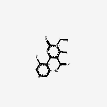 CCn1c(C)c(C(=O)O)c(-c2ccccc2F)nc1=O